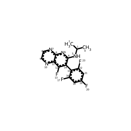 CC(C)Nc1nc2nccnc2c(F)c1-c1c(F)cc(F)cc1F